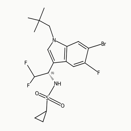 CC(C)(C)Cn1cc([C@H](NS(=O)(=O)C2CC2)C(F)F)c2cc(F)c(Br)cc21